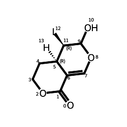 O=C1OCC[C@@H]2C1=COC(O)[C@@H]2I